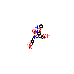 COC(=O)Cc1ccc(CC(C)(C)NC[C@H](CC(C)(C)[Si](C)(C)O)c2ccc(OCc3ccccc3)c(NS(C)(=O)=O)c2)cc1